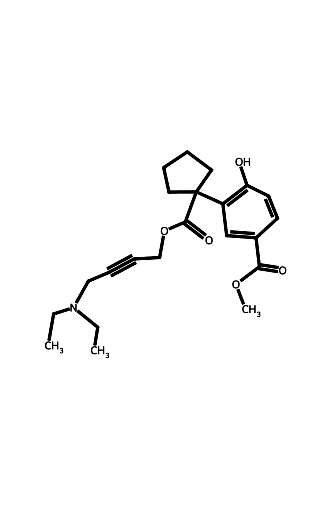 CCN(CC)CC#CCOC(=O)C1(c2cc(C(=O)OC)ccc2O)CCCC1